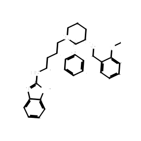 COc1ccccc1CN[C@H]1CCCN(CCCCNc2nc3ccccc3o2)[C@H]1c1ccccc1